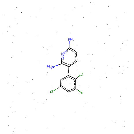 Nc1ccc(-c2cc(Cl)cc(Cl)c2Cl)c(N)n1